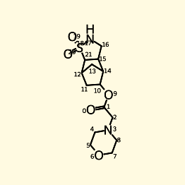 O=C(CN1CCOCC1)OC1CC2CC1C1CNS(=O)(=O)C21